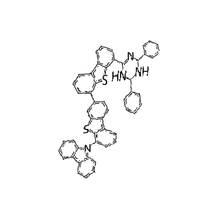 c1ccc(C2N=C(c3cccc4c3sc3c(-c5ccc6c(c5)sc5c(-n7c8ccccc8c8ccccc87)cccc56)cccc34)NC(c3ccccc3)N2)cc1